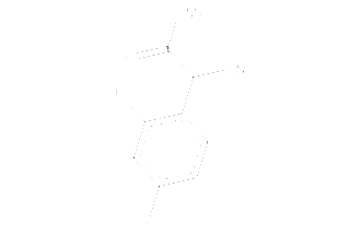 COC(=O)C(C#N)c1ccc(F)cc1F